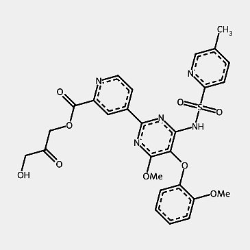 COc1ccccc1Oc1c(NS(=O)(=O)c2ccc(C)cn2)nc(-c2ccnc(C(=O)OCC(=O)CO)c2)nc1OC